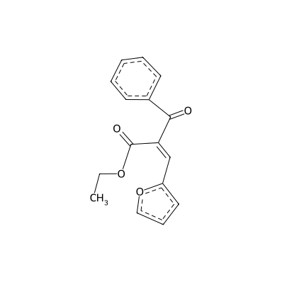 CCOC(=O)C(=Cc1ccco1)C(=O)c1ccccc1